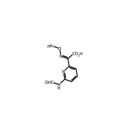 CCCON=C(C(=O)O)c1cccc(NC=O)n1